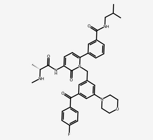 CN[C@H](C)C(=O)Nc1ccc(-c2cccc(C(=O)NCC(C)C)c2)n(Cc2cc(C(=O)c3ccc(F)cc3)cc(N3CCOCC3)c2)c1=O